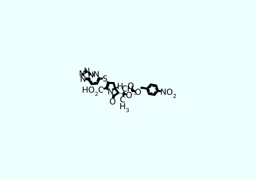 CC(C)(OC(=O)OCc1ccc([N+](=O)[O-])cc1)[C@@H]1C(=O)N2C(C(=O)O)=C(Sc3ccc4nnnn4n3)C[C@H]12